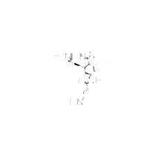 N=C(N)c1ccc(NC(=O)CCCN)cc1C#CCN